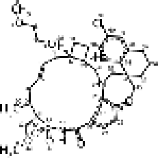 COCCO[C@H]1/C=C/C[C@H](C)[C@H](COC)S(=O)(=O)NC(=O)c2ccc3c(c2)N(C[C@@H]2CC[C@H]21)C[C@@]1(CCCc2cc(Cl)ccc21)CO3